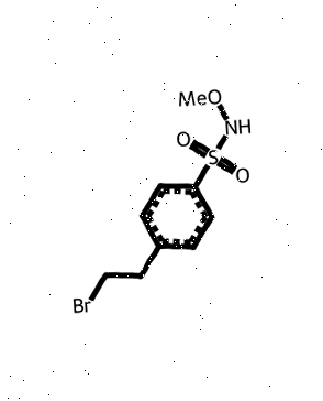 CONS(=O)(=O)c1ccc(CCBr)cc1